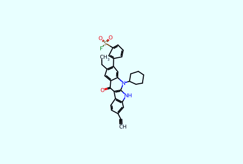 C#Cc1ccc2c(c1)[nH]c1c2c(=O)c2cc(CC)c(-c3cccc(S(=O)(=O)F)c3)cc2n1C1CCCCC1